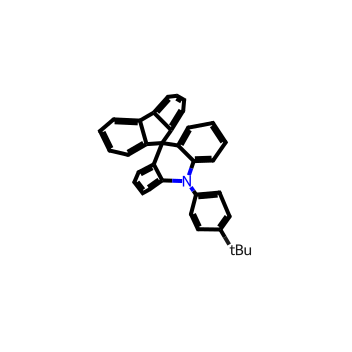 CC(C)(C)c1ccc(N2c3ccccc3C3(c4ccccc4-c4ccccc43)c3ccccc32)cc1